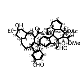 CC[C@]1(O)C[C@H]2CN(CCC3=C(Bc4ccc(C=O)cc43)[C@@](C(=O)OC)(C3C=C4C(=CC3OC)N(C=O)[C@H]3[C@@](O)(C(=O)OC)[C@H](OC(C)=O)[C@]5(CC)C=CCN6CC[C@]43[C@@H]65)C2)C1